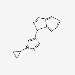 [c]1ccc2c(c1)cnn2-c1cnn(C2CC2)c1